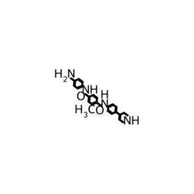 Cc1cc(C(=O)Nc2ccc(CN)cc2)ccc1C(=O)Nc1ccc(C2=CCNCC2)cc1